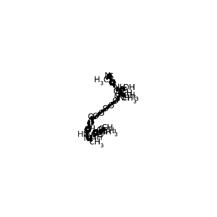 Cc1cnc(Nc2ccc(N3CCN(C(=O)COCCOCCOCCOCCOCC(=O)N[C@H](C(=O)N4C[C@H](O)C[C@H]4C(=O)NCc4ccc(-c5scnc5C)cc4)C(C)(C)C)CC3)cc2)nc1Nc1cccc(S(=O)(=O)NC(C)(C)C)c1